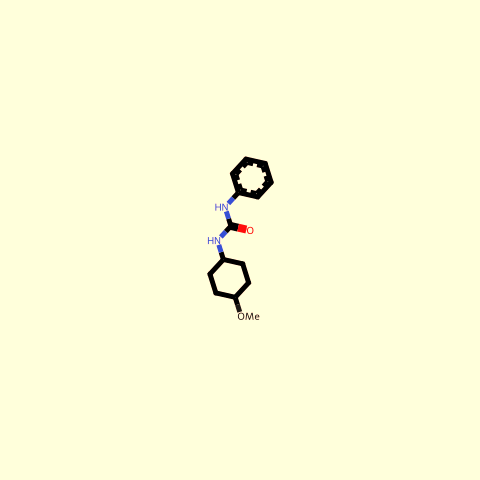 COC1CCC(NC(=O)Nc2ccccc2)CC1